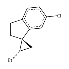 CC[C@H]1C[C@]12CCc1ccc(Cl)cc12